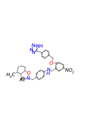 CC(=O)N(Cc1ccc(NCc2cc([N+](=O)[O-])ccc2OCc2ccc(-c3nnn[nH]3)cc2)cc1)OC1CCCC(C)C1C(C)C